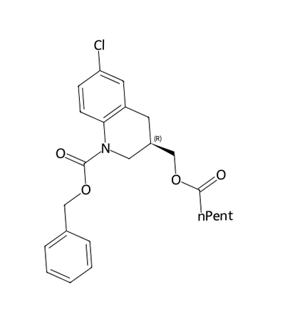 CCCCCC(=O)OC[C@@H]1Cc2cc(Cl)ccc2N(C(=O)OCc2ccccc2)C1